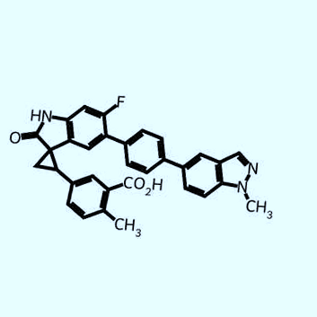 Cc1ccc(C2CC23C(=O)Nc2cc(F)c(-c4ccc(-c5ccc6c(cnn6C)c5)cc4)cc23)cc1C(=O)O